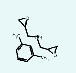 C(NCC1CO1)C1CO1.Cc1cccc(C)c1